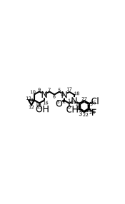 C[C@H]1C(=O)N(CCCN2CCC3(CC3)[C@H](O)C2)CCN1c1ccc(F)c(Cl)c1